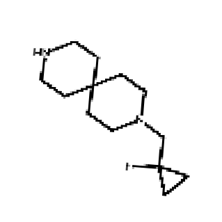 FC1(CN2CCC3(CCNCC3)CC2)CC1